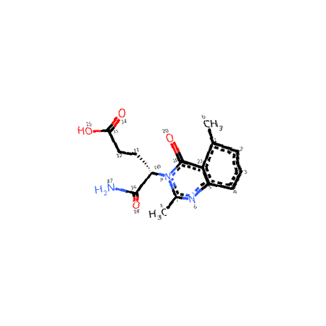 Cc1cccc2nc(C)n([C@@H](CCC(=O)O)C(N)=O)c(=O)c12